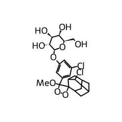 COC1(c2cc(Cl)cc(O[C@@H]3O[C@H](CO)[C@H](O)[C@H](O)[C@H]3O)c2)OOC12C1CC3CC(C1)C(Cl)C2C3